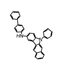 c1ccc(-c2ccc(Nc3ccc4c(c3)c3cc5ccccc5cc3n4-c3ccccc3)cc2)cc1